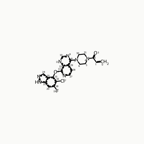 C=CC(=O)N1CCN(c2ncnc3c(Oc4c(Cl)c(F)cc5[nH]ncc45)nccc23)CC1